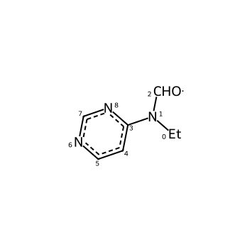 CCN([C]=O)c1ccncn1